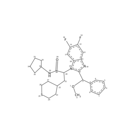 COC(c1ccccc1)c1nc2cc(F)c(F)cc2n1C(CC1CCSCC1)C(=O)NC1CCCC1